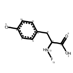 O=C(O)C(Cc1ccc(Cl)cc1)NF